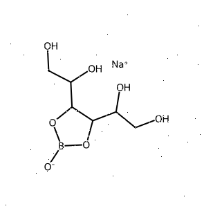 [Na+].[O-]B1OC(C(O)CO)C(C(O)CO)O1